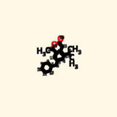 CC(C)c1cc(CC2CCCCC2)cc2c1CC(=O)OC2C